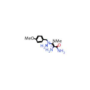 CN/C(=C(/N)C(N)=O)N(N)Cc1ccc(OC)cc1